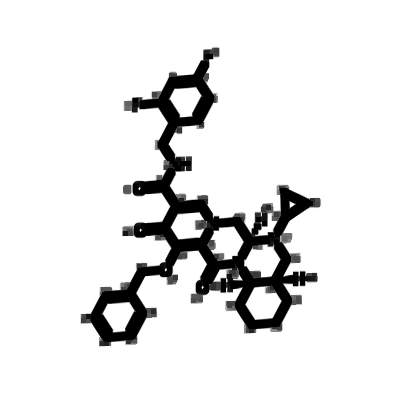 O=C(NCc1ccc(F)cc1F)c1cn2c(c(OCc3ccccc3)c1=O)C(=O)N1[C@H]3CCCC[C@H]3CN(C3CC3)[C@@H]1C2